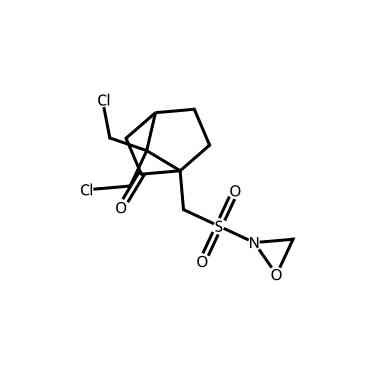 O=C1CC2CCC1(CS(=O)(=O)N1CO1)C2(CCl)CCl